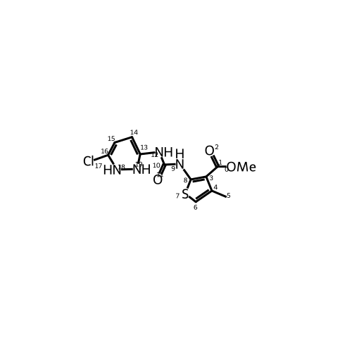 COC(=O)c1c(C)csc1NC(=O)NC1=CC=C(Cl)NN1